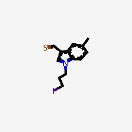 Cc1ccc2c(c1)c(C=S)cn2CCCI